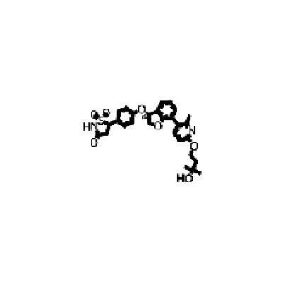 Cc1nc(OCCC(C)(C)O)ccc1-c1cccc2c1OC[C@H]2Oc1ccc(C2CC(=O)NS2(=O)=O)cc1